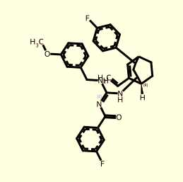 C=CC1=CC2CC[C@H]1C(N/C(=N\C(=O)c1cccc(F)c1)NCc1cccc(OC)c1)CC2c1ccc(F)cc1